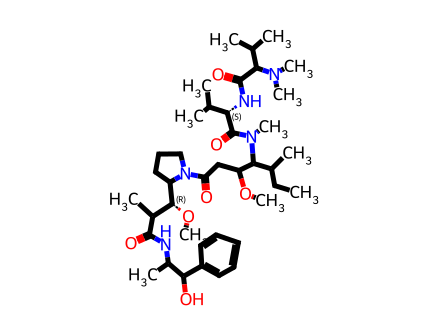 CCC(C)C(C(CC(=O)N1CCCC1[C@H](OC)C(C)C(=O)NC(C)C(O)c1ccccc1)OC)N(C)C(=O)[C@@H](NC(=O)C(C(C)C)N(C)C)C(C)C